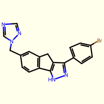 Brc1ccc(-c2n[nH]c3c2Cc2cc(Cn4cncn4)ccc2-3)cc1